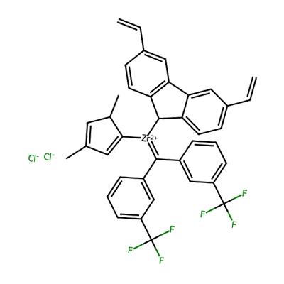 C=Cc1ccc2c(c1)-c1cc(C=C)ccc1[CH]2[Zr+2]([C]1=CC(C)=CC1C)=[C](c1cccc(C(F)(F)F)c1)c1cccc(C(F)(F)F)c1.[Cl-].[Cl-]